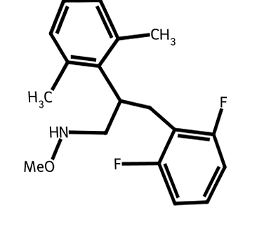 CONCC(Cc1c(F)cccc1F)c1c(C)cccc1C